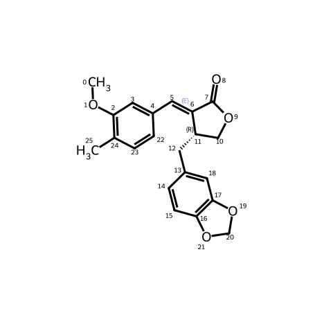 COc1cc(/C=C2/C(=O)OC[C@@H]2Cc2ccc3c(c2)OCO3)ccc1C